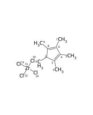 C[C]1C(C)=C(C)C(C)=C1C.[Cl][Zr]([Cl])([Cl])[Cl]